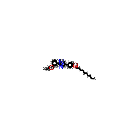 CCCCCCCCCCOc1ccc(-c2cnc(-c3cccc(OCCC)c3)nc2)cc1